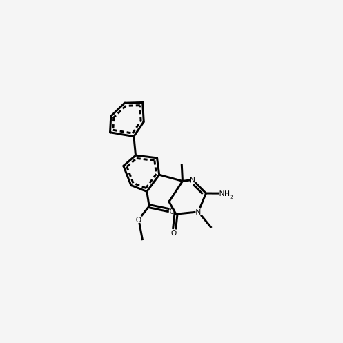 COC(=O)c1ccc(-c2ccccc2)cc1C1(C)CC(=O)N(C)C(N)=N1